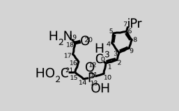 C/C(=C\c1ccc(C(C)C)cc1)CP(=O)(O)CC(CCC(N)=O)C(=O)O